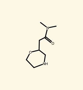 CN(C)C(=O)CC1CNCCO1